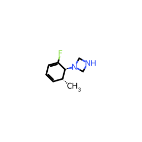 C[C@@H]1C=CC=C(F)[C@H]1N1CNC1